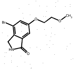 COCCOc1cc(Br)c2c(c1)C(=O)NC2